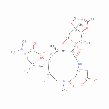 CO[C@]1(C)C[C@H](O[C@H]2[C@H](C)[C@@H](O[C@@H]3O[C@H](C)C[C@H](N(C)C)[C@H]3O)[C@](C)(O)C[C@@H](C)CN(C)C(=O)C[C@@H](CC(=O)O)NC(=O)[C@@H]2C)O[C@@H](C)[C@@H]1OC(C)=O